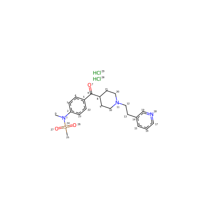 CN(c1ccc(C(=O)C2CCN(CCc3cccnc3)CC2)cc1)S(C)(=O)=O.Cl.Cl